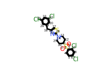 O=S(=O)(c1ccc(Cl)cc1Cl)C1CCN(c2nc(Cc3cc(Cl)cc(Cl)c3)cs2)CC1